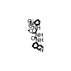 COCC(CNc1ccccc1[N+](=O)[O-])NC(=O)Nc1cccc2cnccc12